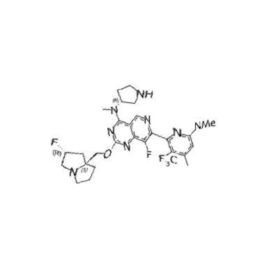 CNc1cc(C)c(C(F)(F)F)c(-c2ncc3c(N(C)[C@@H]4CCNC4)nc(OC[C@@]45CCCN4C[C@H](F)C5)nc3c2F)n1